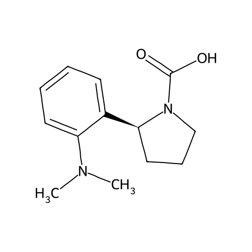 CN(C)c1ccccc1[C@@H]1CCCN1C(=O)O